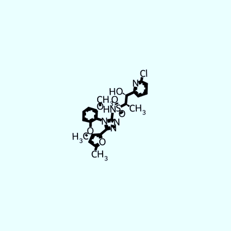 COc1cccc(OC)c1-n1c(NS(=O)(=O)[C@H](C)[C@H](O)c2cccc(Cl)n2)nnc1-c1ccc(C)o1